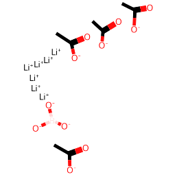 CC(=O)[O-].CC(=O)[O-].CC(=O)[O-].CC(=O)[O-].[Li+].[Li+].[Li+].[Li+].[Li+].[Li+].[Li+].[O-]B([O-])[O-]